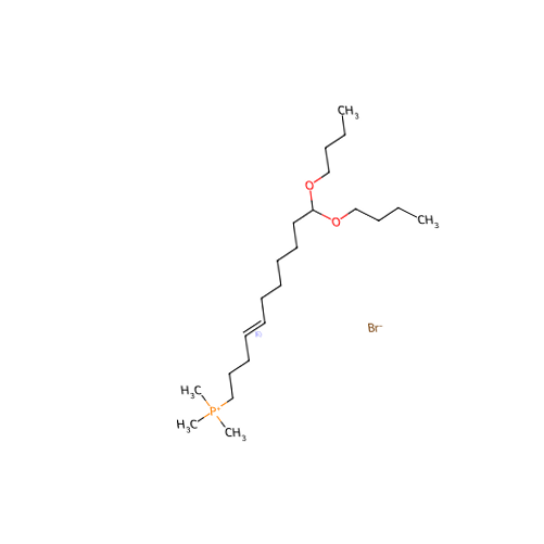 CCCCOC(CCCCC/C=C/CCC[P+](C)(C)C)OCCCC.[Br-]